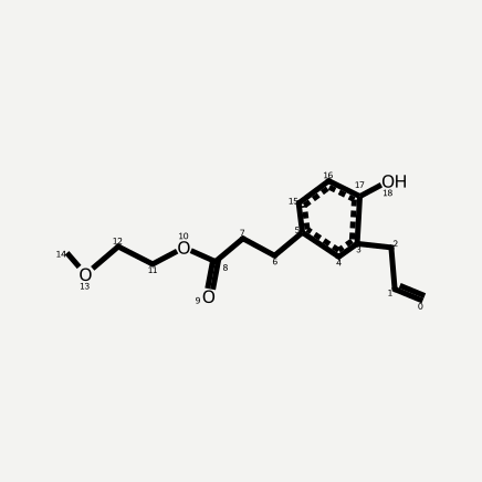 C=CCc1cc(CCC(=O)OCCOC)ccc1O